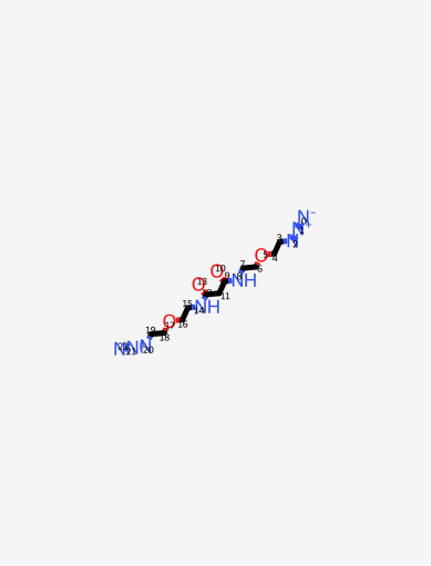 [N-]=[N+]=NCCOCCNC(=O)CC(=O)NCCOCCN=[N+]=[N-]